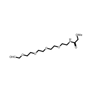 COCC(=O)PCCOCCOCCOCCOCC=O